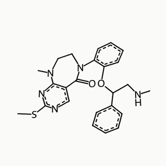 CNCC(Oc1ccccc1N1CCN(C)c2nc(SC)ncc2C1=O)c1ccccc1